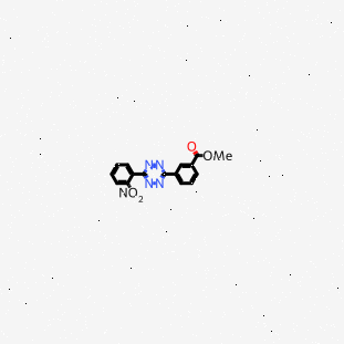 COC(=O)c1cccc(-c2nnc(-c3ccccc3[N+](=O)[O-])nn2)c1